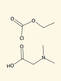 CCOC(=O)Cl.CN(C)CC(=O)O